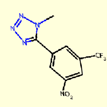 Cn1nnnc1-c1cc([N+](=O)[O-])cc(C(F)(F)F)c1